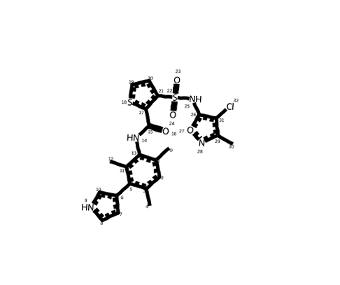 Cc1cc(C)c(-c2cc[nH]c2)c(C)c1NC(=O)c1sccc1S(=O)(=O)Nc1onc(C)c1Cl